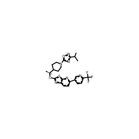 CC(C)c1noc(N2CCC([C@H](C)Oc3nc4ccc(-c5ccc(C(F)(F)F)nc5)nc4s3)CC2)n1